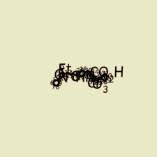 CCc1oc(-c2ccccc2)nc1CCCOc1ccc(C[C@H](NC(=CC(=O)c2ccccc2)C(F)(F)F)C(=O)O)cc1